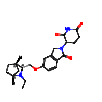 CCN1[C@@H]2CC[C@@H](C2)[C@@H]1COc1ccc2c(c1)CN(C1CCC(=O)NC1=O)C2=O